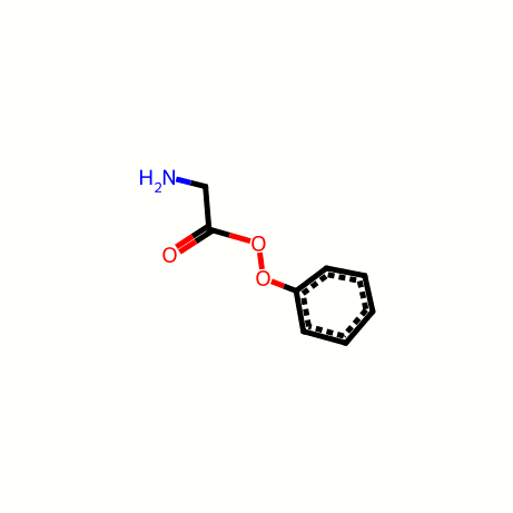 NCC(=O)OOc1ccccc1